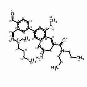 CCCN(CCC)C(=O)C1=Cc2c(cc(-c3ccc(C=O)c(/C=N\N(C)CCSC)c3)cc2OC)N=C(N)C1